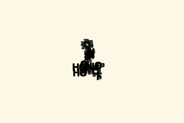 COc1cc(F)cc(CC(NC(=O)CCn2cc(-c3ccccc3)nn2)B(O)O)c1